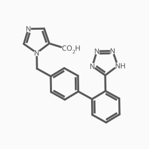 O=C(O)c1cncn1Cc1ccc(-c2ccccc2-c2nnn[nH]2)cc1